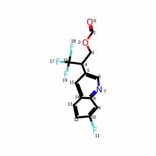 O=COCC(c1cnc2cc(F)ccc2c1)C(F)(F)F